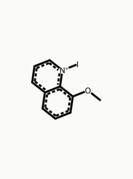 COc1cccc2ccc[n+](I)c12